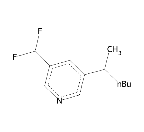 CCCCC(C)c1cncc(C(F)F)c1